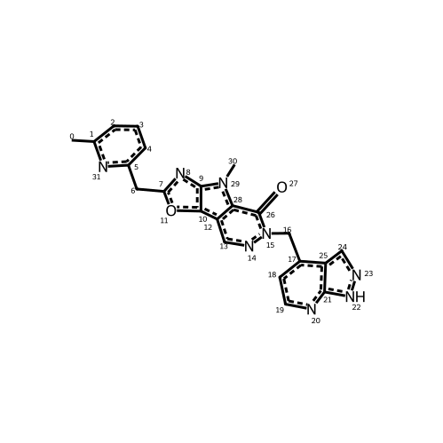 Cc1cccc(Cc2nc3c(o2)c2cnn(Cc4ccnc5[nH]ncc45)c(=O)c2n3C)n1